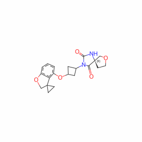 O=C1N[C@@]2(CCOC2)C(=O)N1C1CC(Oc2cccc3c2C2(CC2)CO3)C1